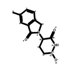 Cc1ccc2c(c1)C(=O)N(C1CC[S+]([O-])NC1=O)C2